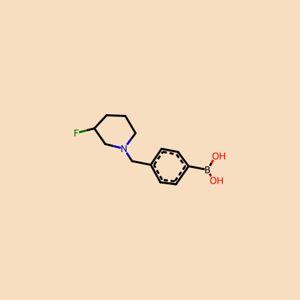 OB(O)c1ccc(CN2CCCC(F)C2)cc1